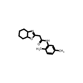 Cc1ccc(C)c(NC(=O)CC2=NC3CCCCC3O2)c1